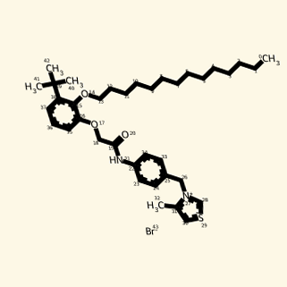 CCCCCCCCCCCCCCOc1c(OCC(=O)Nc2ccc(C[n+]3cscc3C)cc2)cccc1C(C)(C)C.[Br-]